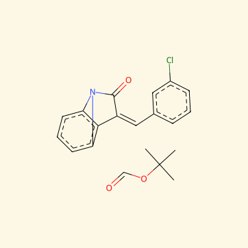 CC(C)(C)OC=O.O=C1C(=Cc2cccc(Cl)c2)c2c3cccc2N13